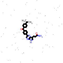 CC(C)c1ccc(C(=O)c2ccc(-c3cnc4[nH]cc(C=CC(N)=O)c4n3)cc2)cc1